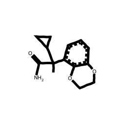 CC(C(N)=O)(c1cccc2c1OCCO2)C1CC1